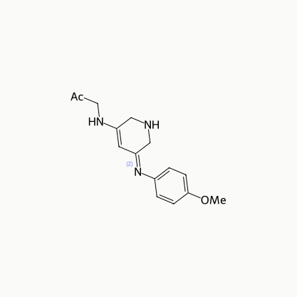 COc1ccc(/N=C2/C=C(NCC(C)=O)CNC2)cc1